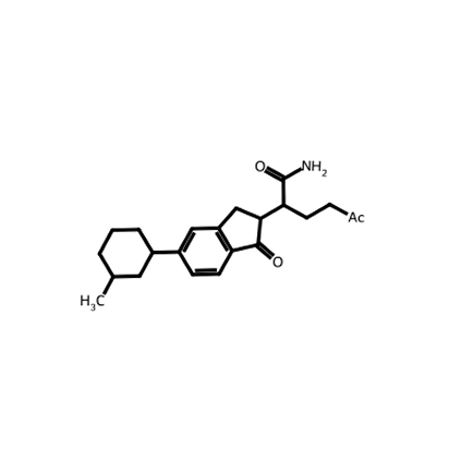 CC(=O)CCC(C(N)=O)C1Cc2cc(C3CCCC(C)C3)ccc2C1=O